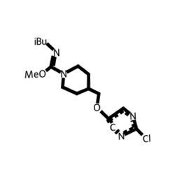 CCC(C)/N=C(\OC)N1CCC(COc2cnc(Cl)nc2)CC1